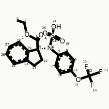 CCOC(=O)[C@@]1(N(c2ccc(OC(F)(F)F)cc2)S(=O)(=O)O)CCc2ccccc21